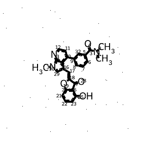 CN(C)C(=O)c1cccc(-c2ccnc3c2c(C=C2Oc4cccc(O)c4C2=O)cn3C)c1